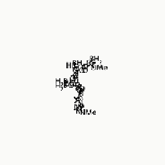 BBC1OC(COP(C)(=O)OC2C(COP(C)(=O)OP(C)(=O)OCC3OC(n4ccc5c(NC)nc(C)nc54)C(C)C3C)OC(B(B)B)C2C)C(OP(C)(=O)OCC2OC(B)C(C)C2OC)C1C